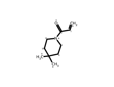 C=CC(=O)N1CCC(C)(C)CC1